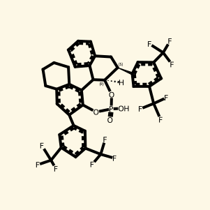 O=P1(O)Oc2c(-c3cc(C(F)(F)F)cc(C(F)(F)F)c3)cc3c(c2C2c4ccccc4C[C@@H](c4cc(C(F)(F)F)cc(C(F)(F)F)c4)[C@H]2O1)CCCC3